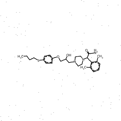 CCCCSc1ccc(OCC(O)CN2CCN(C(C(N)=O)c3c(C)cccc3C)CC2)cc1